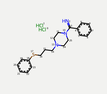 Cl.Cl.N=C(c1ccccc1)N1CCN(CCCSc2ccccc2)CC1